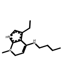 CCCCNC1=CCN(C)c2[nH]cc(CC)c21